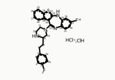 Cl.Cl.Fc1ccc(CCC2CN(C3=Nc4ccc(F)cc4Nc4sc5ccccc5c43)CCN2)cc1